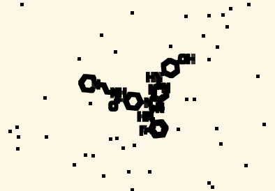 O=C(NCCN1CCCCC1)[C@H]1CC[C@@H](n2c(Nc3ccccc3F)nc3cnc(N[C@H]4CC[C@H](O)CC4)nc32)CC1